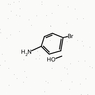 CO.Nc1ccc(Br)cc1